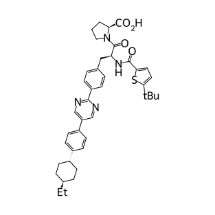 CC[C@H]1CC[C@H](c2ccc(-c3cnc(-c4ccc(C[C@H](NC(=O)c5ccc(C(C)(C)C)s5)C(=O)N5CCC[C@H]5C(=O)O)cc4)nc3)cc2)CC1